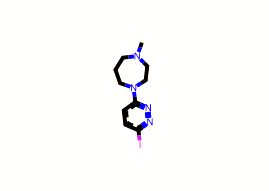 CN1CCCN(c2ccc(I)nn2)CC1